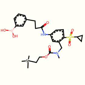 CN(Cc1cc(NC(=O)CCc2cccc(B(O)O)c2)ccc1S(=O)(=O)C1CC1)C(=O)OCC[Si](C)(C)C